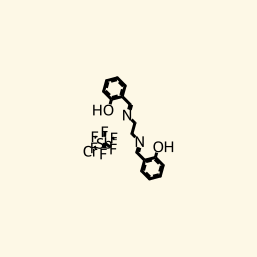 Oc1ccccc1C=NCCN=Cc1ccccc1O.[Cr].[F][Sb-]([F])([F])([F])([F])[F]